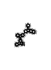 c1ccc(-n2c3ccc(-c4ccc5c(c4)c4ccccc4n5-c4cc5c6c(cncc6c4)-c4ccccc4-5)cc3c3cc4ccccc4cc32)cc1